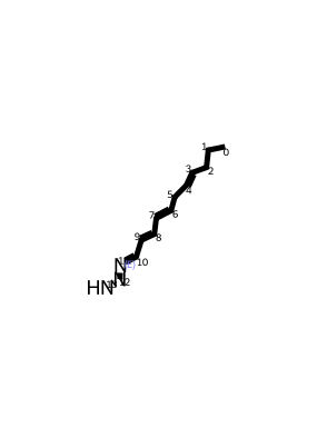 CCCC=CCC=CC=C/C=N/N=N